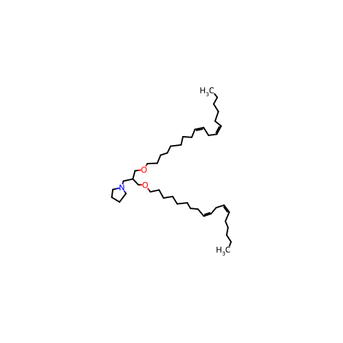 CCCCC/C=C\C/C=C\CCCCCCCCOCC(COCCCCCCCC/C=C\C/C=C\CCCCC)CN1CCCC1